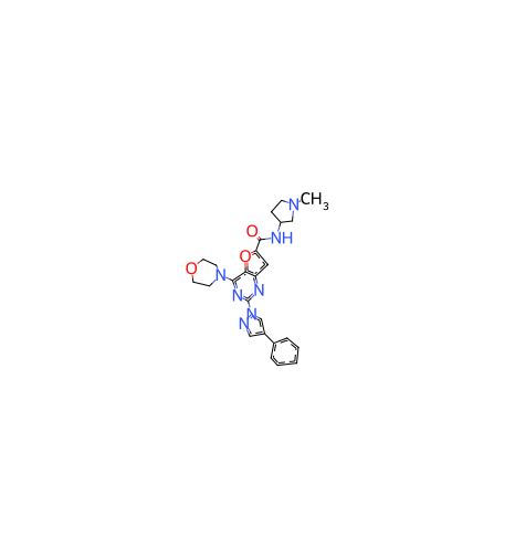 CN1CCC(NC(=O)c2cc3nc(-n4cc(-c5ccccc5)cn4)nc(N4CCOCC4)c3o2)C1